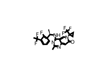 Cc1nc(N[C@H](C)c2cccc(C(C)(F)F)c2F)c2cn(C3(C(F)(F)F)CC3)c(=O)cc2n1